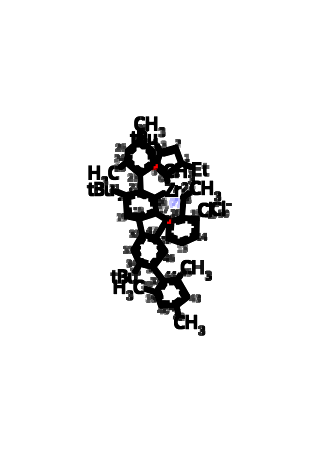 CCC1C=C(C(C)(C)C)C=[C]1/[Zr+2](=[C](\C)c1ccccc1)[c]1c2c(cc(C(C)(C)C)c1-c1c(C)cc(C)cc1C)-c1cc(C(C)(C)C)c(-c3c(C)cc(C)cc3C)cc1C2.[Cl-].[Cl-]